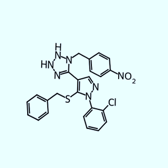 O=[N+]([O-])c1ccc(CN2NNN=C2c2cnn(-c3ccccc3Cl)c2SCc2ccccc2)cc1